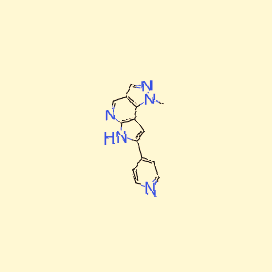 Cn1ncc2cnc3[nH]c(-c4ccncc4)cc3c21